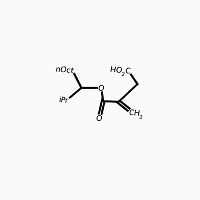 C=C(CC(=O)O)C(=O)OC(CCCCCCCC)C(C)C